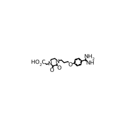 N=C(N)c1ccc(OCCCN2CCN(CC(=O)O)C(=O)C2=O)cc1